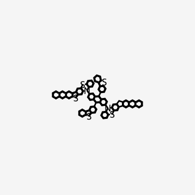 c1ccc2c(c1)Sc1cc3c(cc1N2c1ccc2c(-c4ccc5sc6ccccc6c5c4)c4cc(N5c6ccccc6Sc6cc7c(cc65)sc5cc6cc8ccccc8cc6cc57)ccc4c(-c4ccc5sc6ccccc6c5c4)c2c1)Cc1cc2cc4ccccc4cc2cc1-3